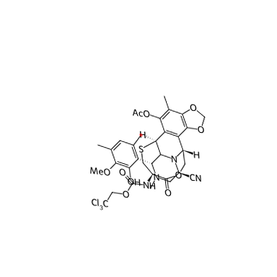 COc1c(C)cc(C)c([C@@H]2C3[C@H]4SC[C@H](NC(=O)OCC(Cl)(Cl)Cl)C(=O)OC[C@@H](c5c6c(c(C)c(OC(C)=O)c54)OCO6)N3[C@@H](C#N)CN2C)c1O